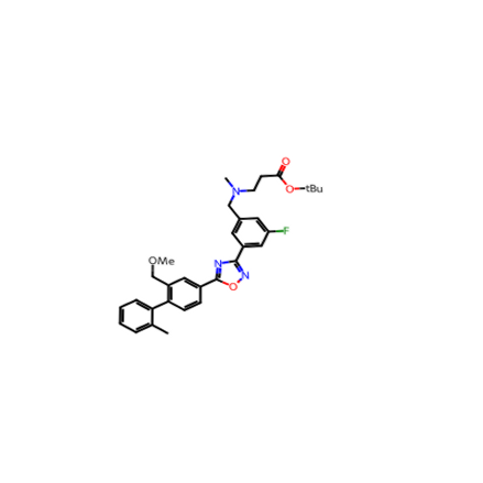 COCc1cc(-c2nc(-c3cc(F)cc(CN(C)CCC(=O)OC(C)(C)C)c3)no2)ccc1-c1ccccc1C